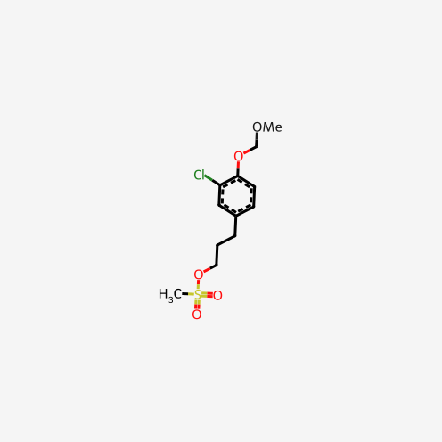 COCOc1ccc(CCCOS(C)(=O)=O)cc1Cl